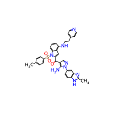 Cc1ccc(S(=O)(=O)n2c(C(=O)c3cnn(-c4ccc5[nH]c(C)nc5c4)c3N)cc3c(NCCc4ccncc4)cccc32)cc1